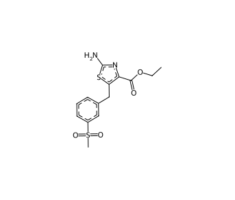 CCOC(=O)c1nc(N)sc1Cc1cccc(S(C)(=O)=O)c1